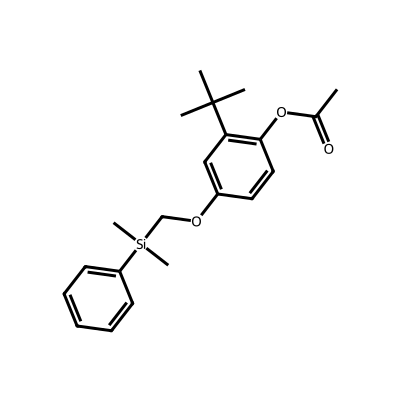 CC(=O)Oc1ccc(OC[Si](C)(C)c2ccccc2)cc1C(C)(C)C